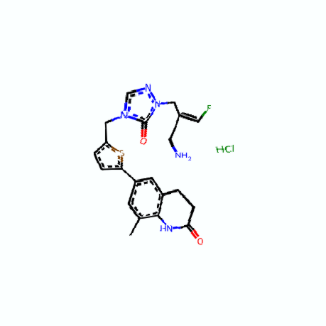 Cc1cc(-c2ccc(Cn3cnn(C/C(=C\F)CN)c3=O)s2)cc2c1NC(=O)CC2.Cl